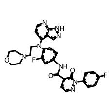 O=C(Nc1ccc(N(CCN2CCOCC2)c2ccnc3[nH]ncc23)c(F)c1)c1ccnn(-c2ccc(F)cc2)c1=O